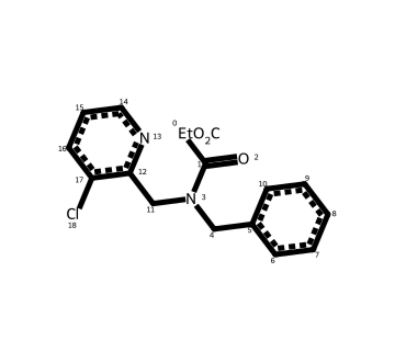 CCOC(=O)C(=O)N(Cc1ccccc1)Cc1ncccc1Cl